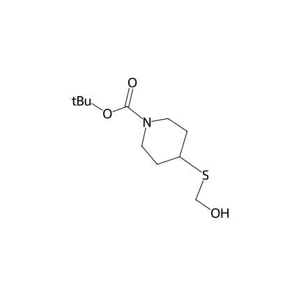 CC(C)(C)OC(=O)N1CCC(SCO)CC1